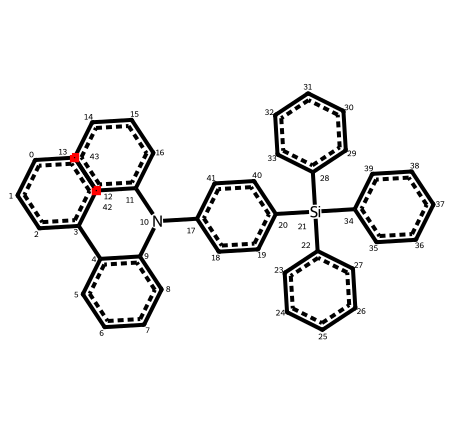 c1ccc(-c2ccccc2N(c2ccccc2)c2ccc([Si](c3ccccc3)(c3ccccc3)c3ccccc3)cc2)cc1